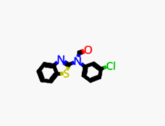 O=CN(c1cccc(Cl)c1)c1nc2ccccc2s1